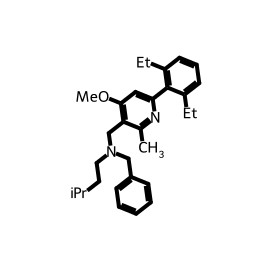 CCc1cccc(CC)c1-c1cc(OC)c(CN(CCC(C)C)Cc2ccccc2)c(C)n1